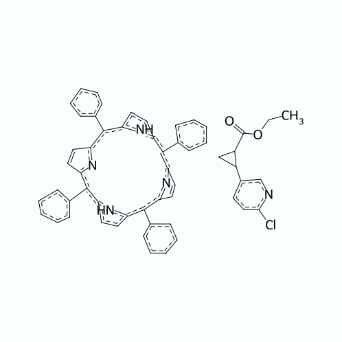 C1=Cc2nc1c(-c1ccccc1)c1ccc([nH]1)c(-c1ccccc1)c1nc(c(-c3ccccc3)c3ccc([nH]3)c2-c2ccccc2)C=C1.CCOC(=O)C1CC1c1ccc(Cl)nc1